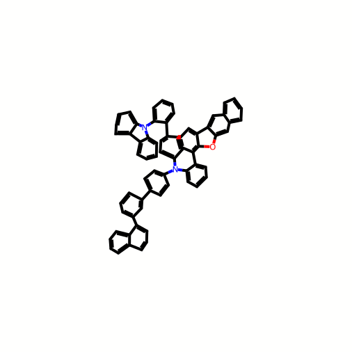 c1cc(-c2ccc(N(c3ccc(-c4ccccc4-n4c5ccccc5c5ccccc54)cc3)c3ccccc3-c3cccc4c3oc3cc5ccccc5cc34)cc2)cc(-c2cccc3ccccc23)c1